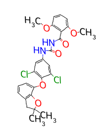 COc1cccc(OC)c1C(=O)NC(=O)Nc1cc(Cl)c(Oc2cccc3c2OC(C)(C)C3)c(Cl)c1